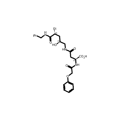 CC[C@H](C[C@H](O)CNC(=O)C[C@H](NC(=O)COc1ccccc1)C(=O)O)C(=O)NCC(C)C